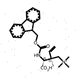 C=C[C@@](C)(C[N+](C)(C)C)[C@@H](NC(=O)OCC1c2ccccc2-c2ccccc21)C(=O)O